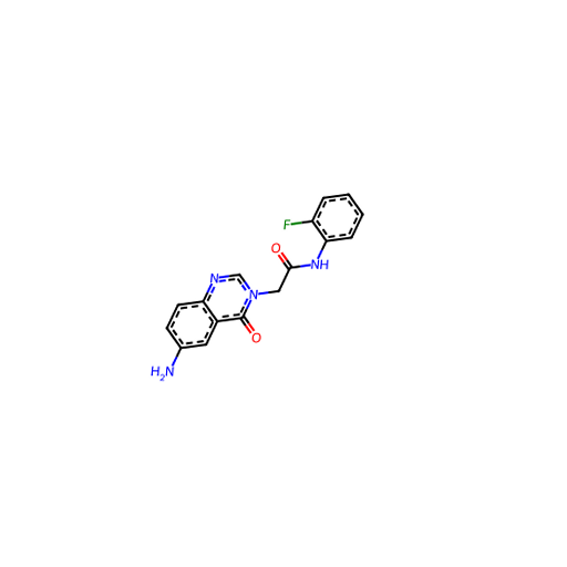 Nc1ccc2ncn(CC(=O)Nc3ccccc3F)c(=O)c2c1